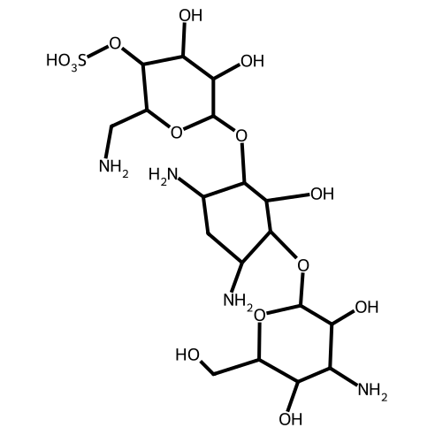 NCC1OC(OC2C(N)CC(N)C(OC3OC(CO)C(O)C(N)C3O)C2O)C(O)C(O)C1OS(=O)(=O)O